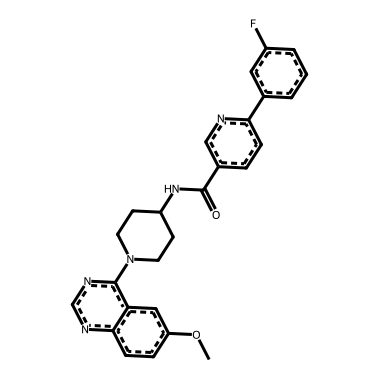 COc1ccc2ncnc(N3CCC(NC(=O)c4ccc(-c5cccc(F)c5)nc4)CC3)c2c1